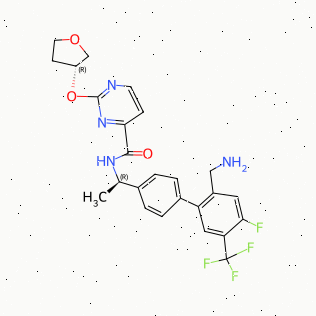 C[C@@H](NC(=O)c1ccnc(O[C@@H]2CCOC2)n1)c1ccc(-c2cc(C(F)(F)F)c(F)cc2CN)cc1